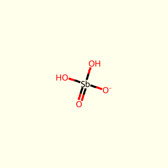 [O]=[Sb]([O-])([OH])[OH]